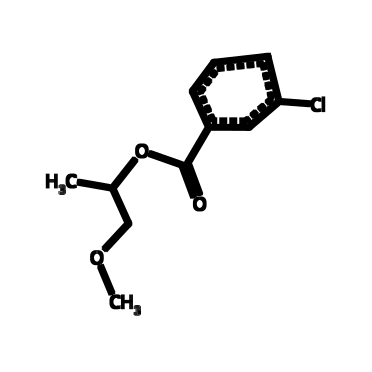 COCC(C)OC(=O)c1cccc(Cl)c1